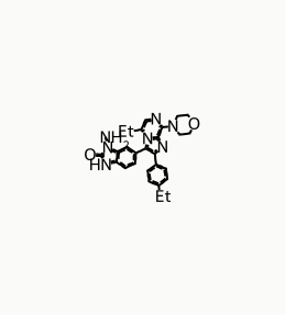 CCc1ccc(-c2nc3c(N4CCOCC4)ncc(CC)n3c2-c2ccc3[nH]c(=O)n(N)c3c2)cc1